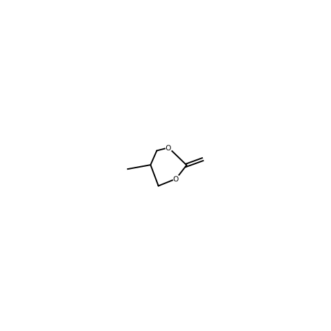 C=C1OCC(C)CO1